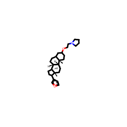 C[C@]12CCC(OCCN3CCCC3)CC1CC[C@@H]1[C@H]2CC[C@]2(C)C(c3ccoc3)CC[C@@H]12